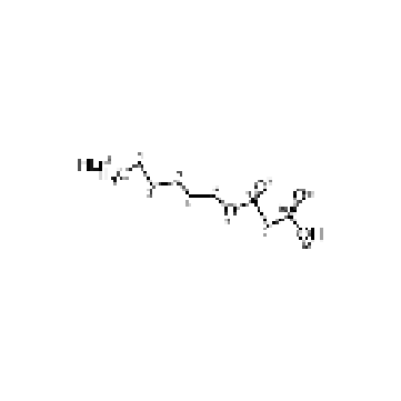 CCCCCCOC(=O)CC(=O)O.[LiH]